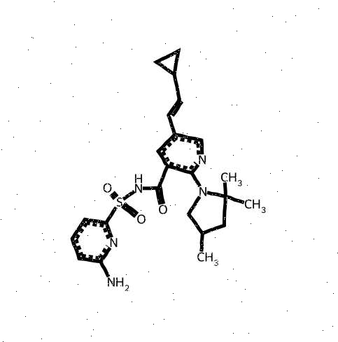 CC1CN(c2ncc(/C=C/C3CC3)cc2C(=O)NS(=O)(=O)c2cccc(N)n2)C(C)(C)C1